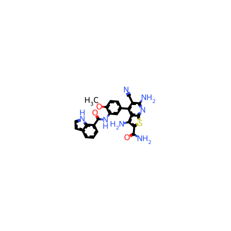 COc1ccc(-c2c(C#N)c(N)nc3sc(C(N)=O)c(N)c23)cc1NC(=O)c1cccc2cc[nH]c12